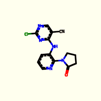 N#Cc1cnc(Cl)nc1Nc1cccnc1N1CCCC1=O